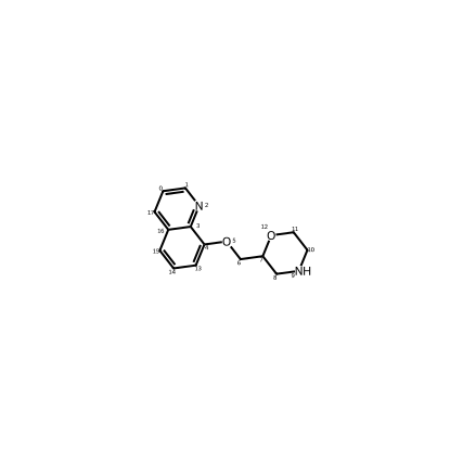 c1cnc2c(OCC3CNCCO3)cccc2c1